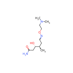 C[C@H](C/C=N/OCCN(C)C)[C@@H](O)CC(N)=O